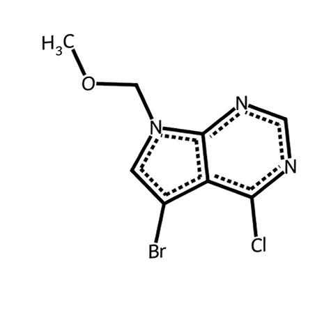 COCn1cc(Br)c2c(Cl)ncnc21